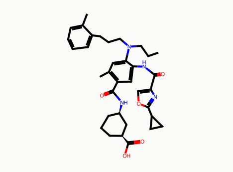 CCCN(CCCc1ccccc1C)c1cc(C)c(C(=O)N[C@@H]2CCC[C@H](C(=O)O)C2)cc1NC(=O)c1coc(C2CC2)n1